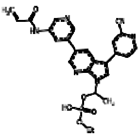 C=CC(=O)Nc1cncc(-c2cnc3c(c2)c(-c2ccnc(C#N)c2)cn3C(C)OP(=O)(O)OCC)c1